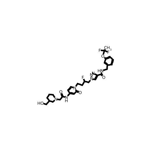 CC(F)(F)Oc1cccc(CNC(=O)c2cn(CC(F)CCn3ccc(NC(=O)CN4CCCC(CO)C4)cc3=O)nn2)c1